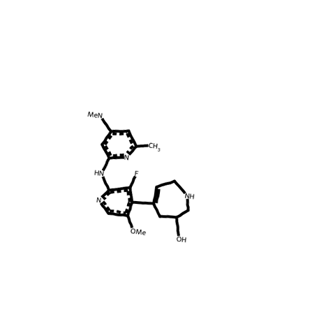 CNc1cc(C)nc(Nc2ncc(OC)c(C3=CCNCC(O)C3)c2F)c1